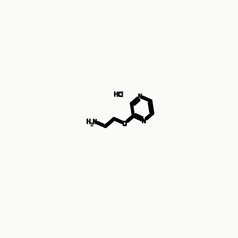 Cl.NCCOc1cnccn1